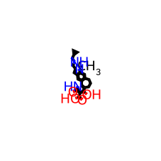 Cn1c(CNCC2CC2)cc2cc3c(cc21)CCCc1c-3[nH]c(=O)c(C(=O)O)c1O